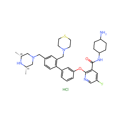 C[C@@H]1CN(Cc2ccc(-c3cccc(Oc4ncc(F)cc4C(=O)NC4CCC(N)CC4)c3)c(CN3CCSCC3)c2)C[C@H](C)N1.Cl